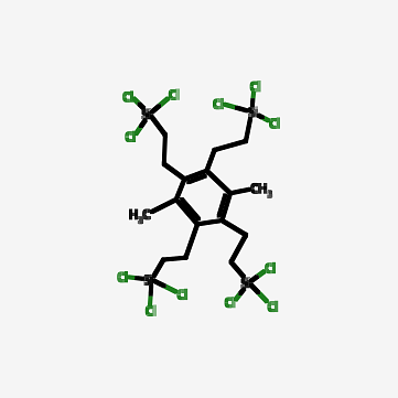 Cc1c(CC[Si](Cl)(Cl)Cl)c(CC[Si](Cl)(Cl)Cl)c(C)c(CC[Si](Cl)(Cl)Cl)c1CC[Si](Cl)(Cl)Cl